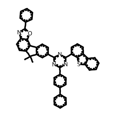 CC1(C)c2cc(-c3nc(-c4ccc(-c5ccccc5)cc4)nc(-c4cccc5c4sc4ccccc45)n3)ccc2-c2c1ccc1nc(-c3ccccc3)oc21